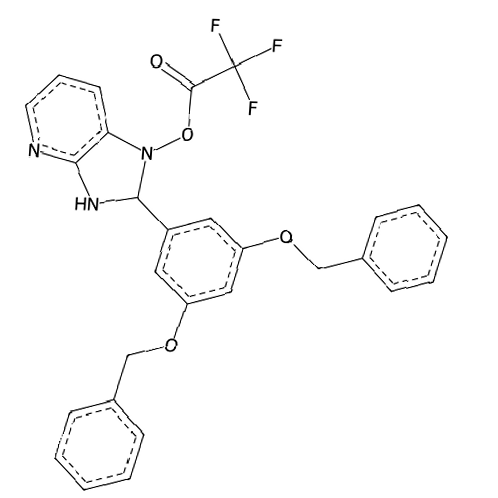 O=C(ON1c2cccnc2NC1c1cc(OCc2ccccc2)cc(OCc2ccccc2)c1)C(F)(F)F